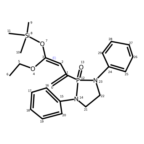 C=C(/C=C(\OCC)O[Si](C)(C)C)P1(=O)N(c2ccccc2)CCN1c1ccccc1